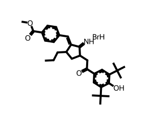 Br.CCCC1CC(CC(=O)c2cc(C(C)(C)C)c(O)c(C(C)(C)C)c2)C(=N)/C1=C/c1ccc(C(=O)OC)cc1